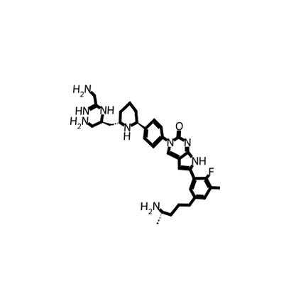 Cc1cc(CCC[C@H](C)N)cc(-c2cc3cn(-c4ccc([C@@H]5CCC[C@@H](C[C@@H](CN)NC(=N)CN)N5)cc4)c(=O)nc3[nH]2)c1F